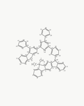 CC1(C)c2ccccc2-c2cc3c4ccccc4n(-c4cccc(-c5nc(-c6ccccc6)nc(-c6cc(-c7ccccc7)c7c(c6)oc6ccccc67)n5)c4)c3cc21